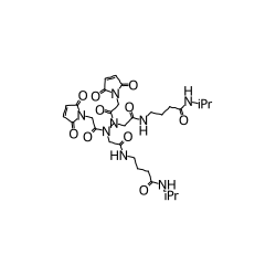 CC(C)NC(=O)CCCNC(=O)CN(C(=O)CN1C(=O)C=CC1=O)N(CC(=O)NCCCC(=O)NC(C)C)C(=O)CN1C(=O)C=CC1=O